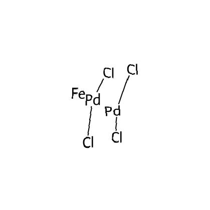 [Cl][Pd][Cl].[Cl][Pd][Cl].[Fe]